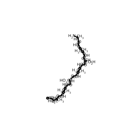 CC(CCCN)CNCCC(=O)OCC(O)COc1ccc(C(C)(C)c2ccc(OCC(O)COC(=O)CCN(CCC(=O)OCC(O)COc3ccc(C(C)(C)c4ccc(OCC(O)COC(=O)CCSCC(NCCC(=O)OCC(O)COc5ccc(C(C)(C)c6ccc(OCC(O)COC(=O)CCN(CCC(=O)OCC(O)COc7ccccc7)C(C)C(=O)O)cc6)cc5)C(=O)O)cc4)cc3)C(C)C(=O)O)cc2)cc1